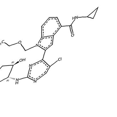 CCOCn1c(-c2nc(N[C@@H]3CCC[C@H]3O)ncc2Cl)cc2c(C(=O)NC3CC3)cccc21